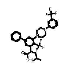 CC(C)CC(C(=O)O)c1cc(-c2ccccc2)cc(N2CCN(c3cccc(C(F)(F)F)c3)CC2)c1C(F)(F)F